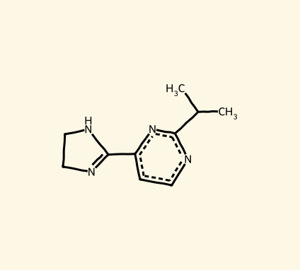 CC(C)c1nccc(C2=NCCN2)n1